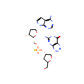 Nc1nc2c(nnn2[C@@H]2OC(CO)C[C@H]2OP(O)(=S)OC[C@H]2O[C@@H](n3ccc4c(N)ncnc43)[C@@H](F)[C@@H]2O)c(=O)[nH]1